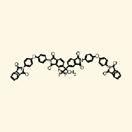 CC(c1ccc2c(c1)C(=O)N(c1ccc(Oc3ccc(N4C(=O)C5C6C=CC(C6)C5C4=O)cc3)cc1)C2=O)(c1ccc2c(c1)C(=O)N(c1ccc(Oc3ccc(N4C(=O)C5C6C=CC(C6)C5C4=O)cc3)cc1)C2=O)C(F)(F)F